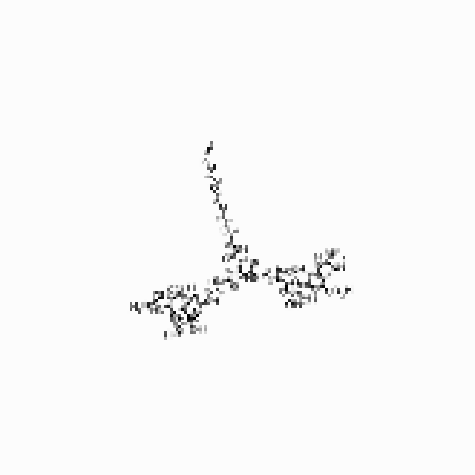 C#CCOCCOCCOCCOCCNC(=O)CN(CC(=O)NCCNC(=O)O[C@@H]([C@@H]1OC(C(=O)O)=C[C@H](NC(=N)N)[C@H]1NC(C)=O)[C@H](O)CO)CC(=O)NCCNC(=O)O[C@@H]([C@@H]1OC(C(=O)O)=C[C@H](NC(=N)N)[C@H]1NC(C)=O)[C@H](O)CO